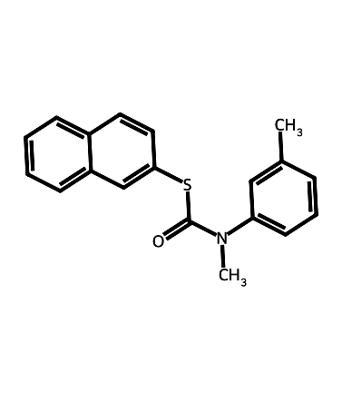 Cc1cccc(N(C)C(=O)Sc2ccc3ccccc3c2)c1